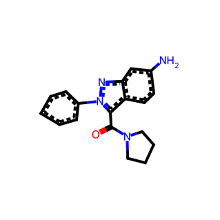 Nc1ccc2c(C(=O)N3CCCC3)n(-c3ccccc3)nc2c1